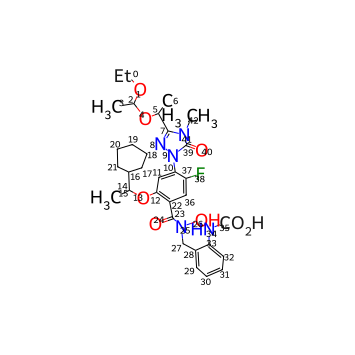 CCOC(C)OC(C)c1nn(-c2cc(OC(C)C3CCCCC3)c(C(=O)N(O)Cc3ccccc3NC(=O)O)cc2F)c(=O)n1C